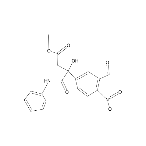 COC(=O)CC(O)(C(=O)Nc1ccccc1)c1ccc([N+](=O)[O-])c(C=O)c1